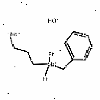 CCCCCCCCCCC[CH2][Sb+]([CH2]C)([CH2]C)[CH2]c1ccccc1.[OH-]